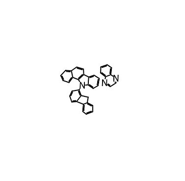 c1ccc2c(c1)Cc1c-2cccc1-n1c2ccccc2c2ccc3ccccc3c21.c1ccc2nccnc2c1